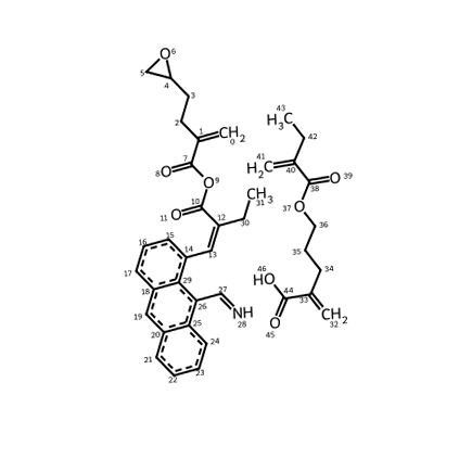 C=C(CCC1CO1)C(=O)OC(=O)C(=Cc1cccc2cc3ccccc3c(C=N)c12)CC.C=C(CCCOC(=O)C(=C)CC)C(=O)O